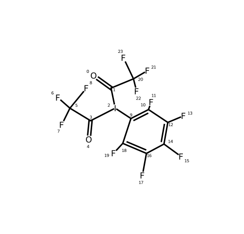 O=C(I(C(=O)C(F)(F)F)c1c(F)c(F)c(F)c(F)c1F)C(F)(F)F